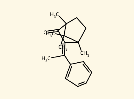 CC(=C1C(=O)C2(C)CCC1(C)C2(C)C)c1ccccc1